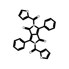 O=C1C2=C(c3ccccc3)N(C(=O)c3ccco3)C(=O)C2=C(c2ccccc2)N1C(=O)c1ccco1